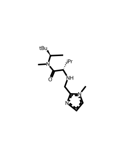 CC(C)[C@H](NCc1nccn1C)C(=O)N(C)[C@H](C)C(C)(C)C